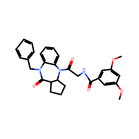 COc1cc(OC)cc(C(=O)NCC(=O)N2c3ccccc3N(Cc3ccccc3)C(=O)C3CCCC32)c1